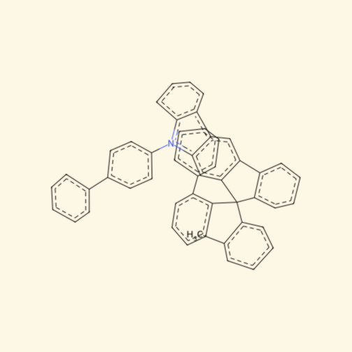 Cc1ccccc1C1(c2ccccc2-c2ccccc2)c2ccccc2-c2cc3c4ccccc4n(-c4ccc(-c5ccccc5)cc4)c3cc21